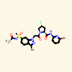 CC(=O)c1nn(CC(=O)N2C[C@H](F)C[C@H]2C(=O)Nc2cccc(Br)n2)c2cc(S(C)(=O)=NC(=O)C(F)(F)F)ccc12